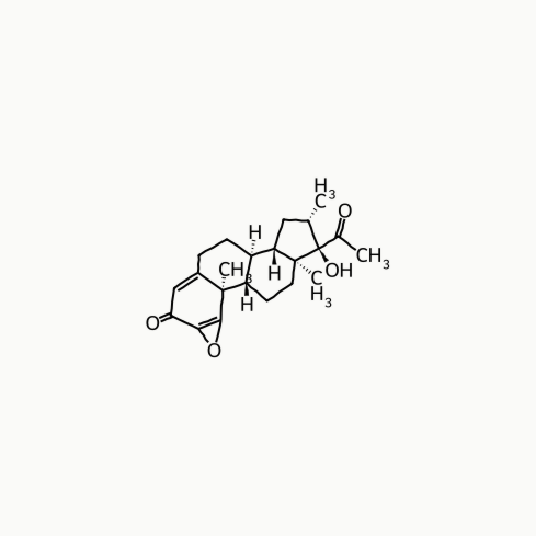 CC(=O)[C@@]1(O)[C@@H](C)C[C@H]2[C@@H]3CCC4=CC(=O)C5=C(O5)[C@]4(C)[C@H]3CC[C@@]21C